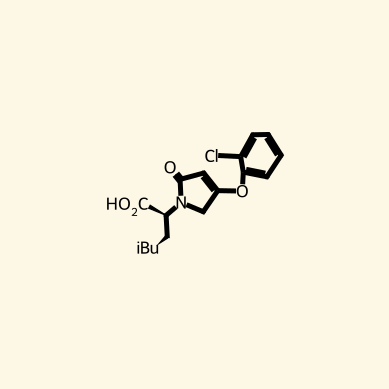 CC[C@H](C)C[C@@H](C(=O)O)N1CC(Oc2ccccc2Cl)=CC1=O